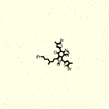 Cc1cc(C2=C3C(=C(CCC(C)CCCC(C)C)[N+]2=O)C(=O)C(c2cc(C)c(Br)s2)c2nsnc23)sc1Br